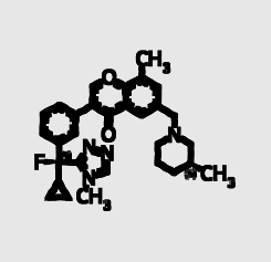 Cc1cc(CN2CCC[C@H](C)C2)cc2c(=O)c(-c3cccc([C@](F)(c4nncn4C)C4CC4)c3)coc12